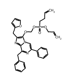 C=CCCP(=O)(OCC=C)OCOc1c(Cc2ccco2)nc2c(Cc3ccccc3)nc(-c3ccccc3)cn12